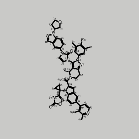 Cc1cc(-n2nc3c(c2-n2ccn(-c4ccc5c(cnn5[C@H]5CCOC5)c4)c2=O)[C@H](C)N(C(=O)c2cc4cc(-c5ccnc(C)c5F)ccc4n2[C@@]2(c4noc(=O)[nH]4)C[C@@H]2C)CC3)cc(C)c1F